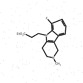 CCOC(=O)CCn1c2c(c3cccc(F)c31)CN(C)CC2